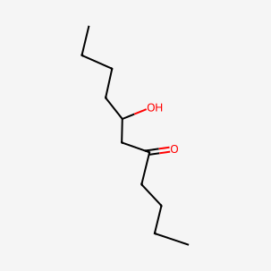 CCCCC(=O)CC(O)CCCC